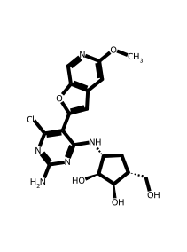 COc1cc2cc(-c3c(Cl)nc(N)nc3N[C@@H]3C[C@H](CO)[C@@H](O)[C@H]3O)oc2cn1